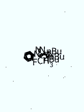 CCC[CH2][Sn]([CH2]CCC)([CH2]CCC)[c]1nnn(-c2ccccc2F)c1C